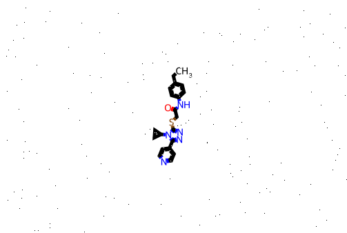 CCc1ccc(NC(=O)CSc2nnc(-c3ccncc3)n2C2CC2)cc1